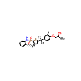 CCC(CC)(c1ccc(OCC(O)C(C)(C)C)c(C)c1)c1cc(C)c(S(=O)(=O)Nc2ccccc2C(=O)O)s1